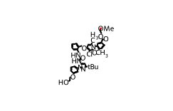 COCCOC(=O)c1ccc(C)c(-n2c(C)cc(OCc3ccccc3CNC(=O)Nc3cc(C(C)(C)C)nn3-c3cccc(OCCO)c3)c(Cl)c2=O)c1